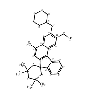 CC1(C)CC(C)(C)CC2(C1)c1ccccc1-c1c2cc(O)c2cc(SC3CCCCC3)c(CS)cc12